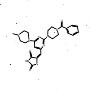 CN1CCN(c2cc(C=C3SC(=O)NC3=O)nc(N3CCN(C(=O)c4ccccc4)CC3)n2)CC1